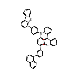 c1cc(-c2ccc(N(c3ccc(-c4cccc5c4sc4ccccc45)cc3)c3ccccc3-c3cccc4ccccc34)cc2)cc(-c2cccc3ccccc23)c1